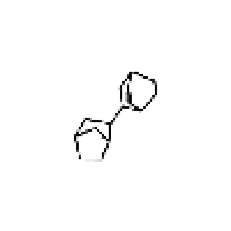 [CH]1C2C=CC(CC2)C1C1[CH]C2CCC1C2